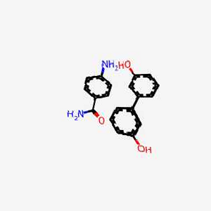 NC(=O)c1ccc(N)cc1.Oc1cccc(-c2cccc(O)c2)c1